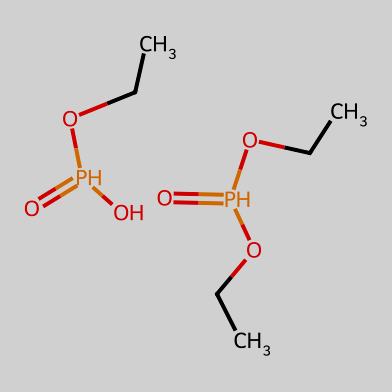 CCO[PH](=O)O.CCO[PH](=O)OCC